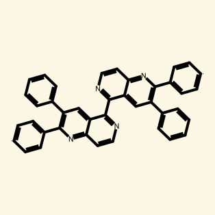 [c]1ccc(-c2nc3ccnc(-c4nccc5nc(-c6cc[c]cc6)c(-c6ccccc6)cc45)c3cc2-c2ccccc2)cc1